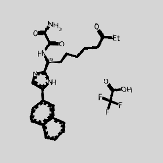 CCC(=O)CCCCC[C@H](NC(=O)C(N)=O)c1ncc(-c2ccc3ccccc3c2)[nH]1.O=C(O)C(F)(F)F